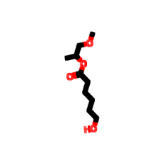 COCC(C)OC(=O)CCCCCO